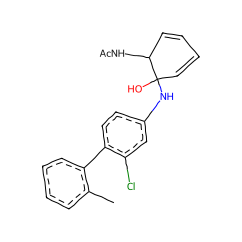 CC(=O)NC1C=CC=CC1(O)Nc1ccc(-c2ccccc2C)c(Cl)c1